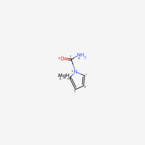 NC(=O)n1cccc1.[MgH2]